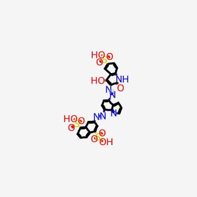 O=c1[nH]c2ccc(S(=O)(=O)O)cc2c(O)c1/N=N/c1ccc(/N=N/c2cc(S(=O)(=O)O)c3cccc(S(=O)(=O)O)c3c2)c2ncccc12